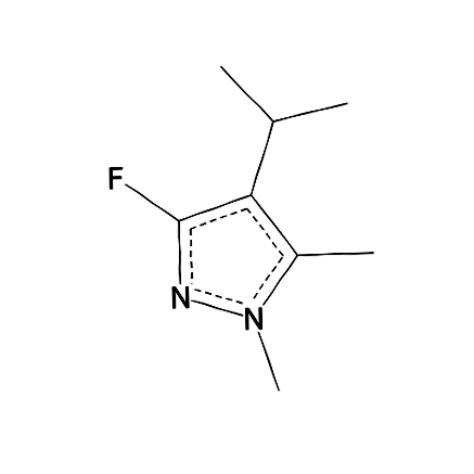 Cc1c(C(C)C)c(F)nn1C